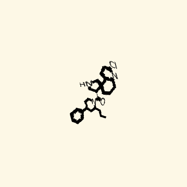 CCCC1CC(c2ccccc2)CCN1C(=O)[C@@H]1CNCC12CCCc1nc(Cl)ccc12